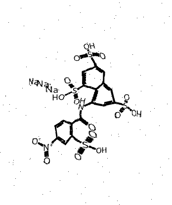 O=C(Nc1cc(S(=O)(=O)O)cc2cc(S(=O)(=O)O)cc(S(=O)(=O)O)c12)c1ccc([N+](=O)[O-])cc1S(=O)(=O)O.[Na].[Na].[Na]